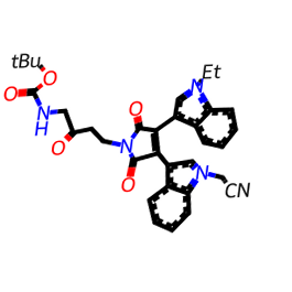 CCn1cc(C2=C(c3cn(CC#N)c4ccccc34)C(=O)N(CCC(=O)CNC(=O)OC(C)(C)C)C2=O)c2ccccc21